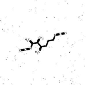 C=C(CCCN=C=O)C(=C)C(=C)N=C=O